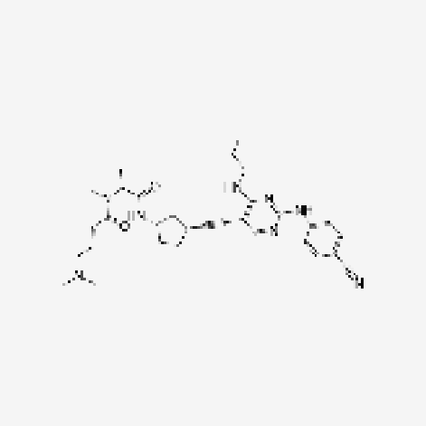 CCCNc1nc(Nc2ccc(C#N)cc2)ncc1C#C[C@H]1CC[C@H](NC(=O)[C@H](C)N(C)C(=O)/C=C/CN(C)C)C1